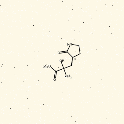 COC(=O)C(N)(O)C[C@@H]1CCNC1=O